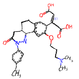 Cc1ccc(N2N=C3c4cc(OCCCN(C)C)c(/C(=C\C(=O)O)C(=O)O)cc4CCC3CC2=O)cc1